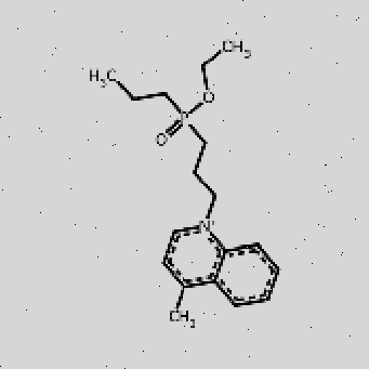 CCCP(=O)(CCC[n+]1ccc(C)c2ccccc21)OCC